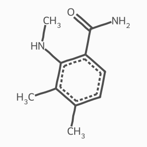 CNc1c(C(N)=O)ccc(C)c1C